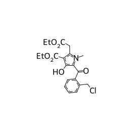 CCOC(=O)Cc1c(C(=O)OCC)c(O)c(C(=O)c2ccccc2CCl)n1C